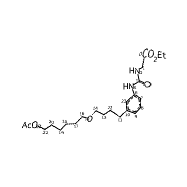 CCOC(=O)CNC(=O)Nc1cccc(CCCCOCCCCCCOC(C)=O)c1